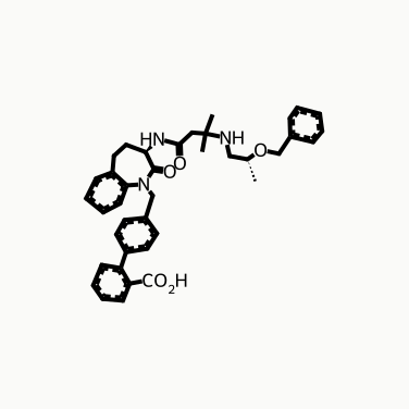 C[C@H](CNC(C)(C)CC(=O)N[C@@H]1CCc2ccccc2N(Cc2ccc(-c3ccccc3C(=O)O)cc2)C1=O)OCc1ccccc1